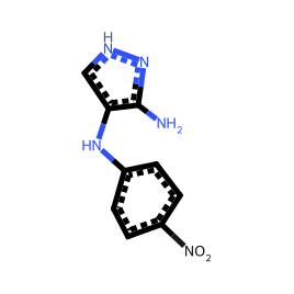 Nc1n[nH]cc1Nc1ccc([N+](=O)[O-])cc1